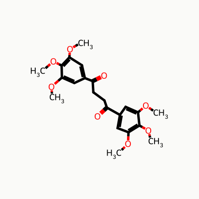 COc1cc(C(=O)CCC(=O)c2cc(OC)c(OC)c(OC)c2)cc(OC)c1OC